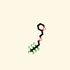 FC(F)(F)C(F)(F)C(F)(F)CCOCCC1CCCCO1